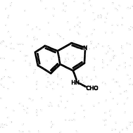 O=CNc1cncc2ccccc12